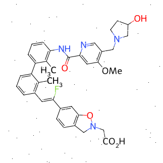 COc1cc(C(=O)Nc2cccc(-c3cccc(/C=C(\F)c4ccc5c(c4)ON(CC(=O)O)C5)c3C)c2C)ncc1CN1CCC(O)C1